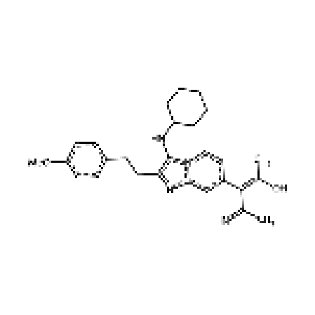 COc1ccc(CCc2nc3cc(/C(C(C)=N)=C(\C)O)ccn3c2NC2CCCCC2)cc1